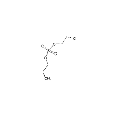 CCCOS(=O)(=O)OCCCl